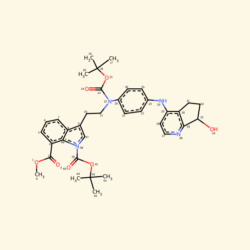 COC(=O)c1cccc2c(CCN(C(=O)OC(C)(C)C)c3ccc(Nc4ccnc5c4CCC5O)cc3)cn(C(=O)OC(C)(C)C)c12